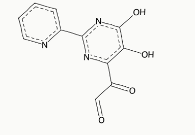 O=CC(=O)c1nc(-c2ccccn2)nc(O)c1O